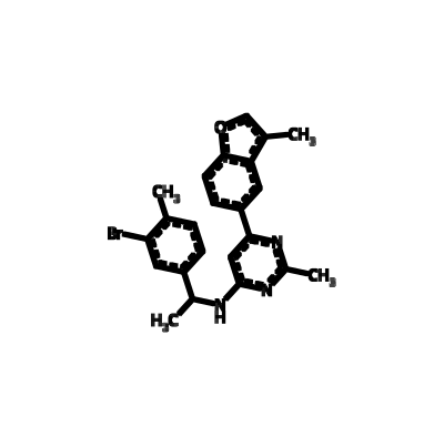 Cc1nc(NC(C)c2ccc(C)c(Br)c2)cc(-c2ccc3occ(C)c3c2)n1